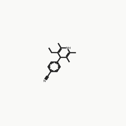 CCC1=C(C)NC(C)=C(C)C1c1ccc(C#N)cc1